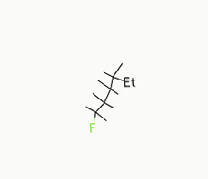 CCC(C)(C)C(C)(C)C(C)(C)C(C)(C)F